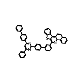 c1ccc(-c2ccc(-c3cc(-c4ccccc4)nc(-c4ccc(-c5cccc(-c6nc7c8ccccc8ccc7c7c6sc6ccccc67)c5)cc4)n3)cc2)cc1